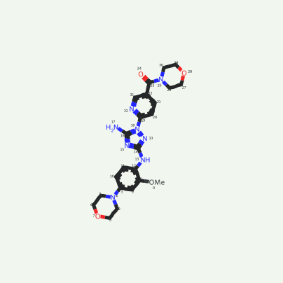 COc1cc(N2CCOCC2)ccc1Nc1nc(N)n(-c2ccc(C(=O)N3CCOCC3)cn2)n1